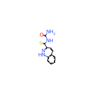 NC(=O)NC(=S)C1=NNc2ccccc2C=C1